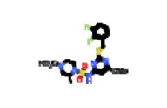 COc1cc(NS(=O)(=O)N2CCN(C(=O)O)C[C@@H]2C)nc(SCc2cccc(F)c2F)n1